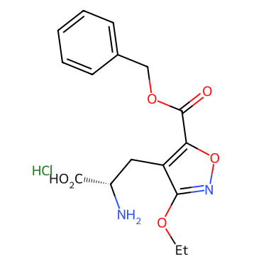 CCOc1noc(C(=O)OCc2ccccc2)c1C[C@H](N)C(=O)O.Cl